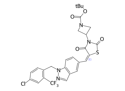 CC(C)(C)OC(=O)N1CC(N2C(=O)S/C(=C/c3ccc4c(cnn4Cc4ccc(Cl)cc4C(F)(F)F)c3)C2=O)C1